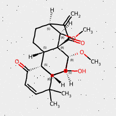 C=C1C(=O)[C@]23[C@H](OC)[C@H]1CC[C@H]2[C@@]12CO[C@@]3(OC)[C@@H](O)[C@@H]1C(C)(C)C=CC2=O